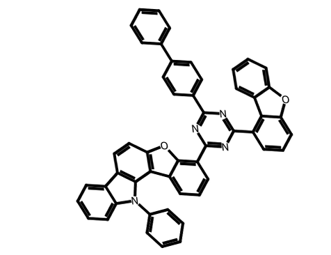 c1ccc(-c2ccc(-c3nc(-c4cccc5c4oc4ccc6c7ccccc7n(-c7ccccc7)c6c45)nc(-c4cccc5oc6ccccc6c45)n3)cc2)cc1